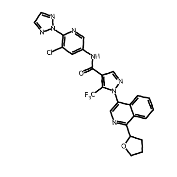 O=C(Nc1cnc(-n2nccn2)c(Cl)c1)c1cnn(-c2cnc(C3CCCO3)c3ccccc23)c1C(F)(F)F